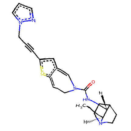 C[C@H]1[C@H](NC(=O)N2C=c3cc(C#CCn4cccn4)sc3=CC2)C2CCN1CC2